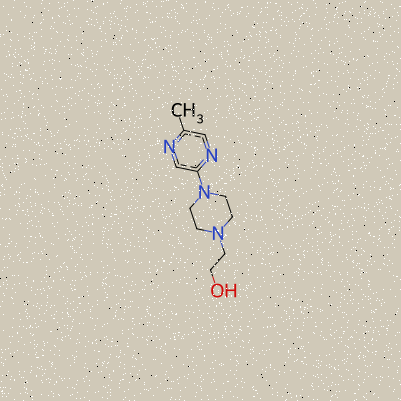 Cc1cnc(N2CCN(CCO)CC2)cn1